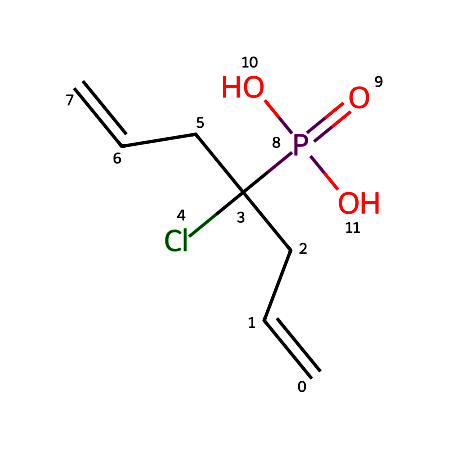 C=CCC(Cl)(CC=C)P(=O)(O)O